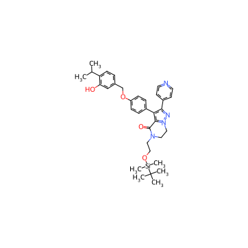 CC(C)c1ccc(COc2ccc(-c3c(-c4ccncc4)nn4c3C(=O)N(CCO[Si](C)(C)C(C)(C)C)CC4)cc2)cc1O